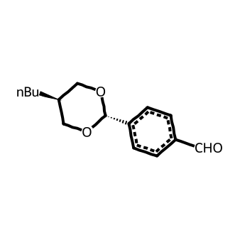 CCCC[C@H]1CO[C@H](c2ccc(C=O)cc2)OC1